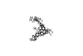 CC(OCC1(c2ccc(F)cc2)CCN(C(=O)OC(C)(C)C)CC1)c1cc(N(C)C)cc2cn(COCC[Si](C)(C)C)nc12